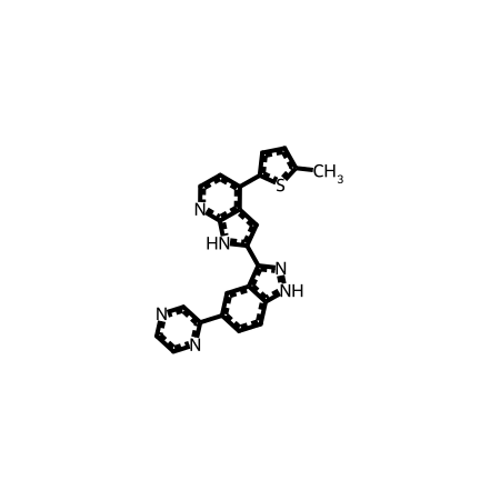 Cc1ccc(-c2ccnc3[nH]c(-c4n[nH]c5ccc(-c6cnccn6)cc45)cc23)s1